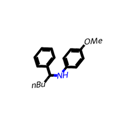 CCCCC(Nc1ccc(OC)cc1)c1ccccc1